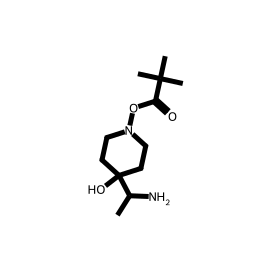 CC(N)C1(O)CCN(OC(=O)C(C)(C)C)CC1